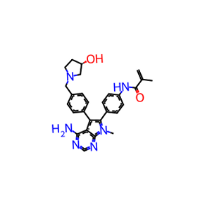 C=C(C)C(=O)Nc1ccc(-c2c(-c3ccc(CN4CC[C@@H](O)C4)cc3)c3c(N)ncnc3n2C)cc1